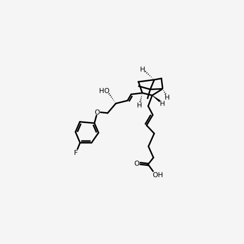 CC1(C)[C@H]2C[C@H](/C=C/[C@@H](O)COc3ccc(F)cc3)[C@@H](C/C=C/CCCC(=O)O)[C@@H]1C2